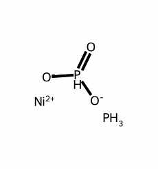 O=[PH]([O-])[O-].P.[Ni+2]